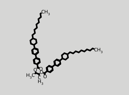 CCCCCCCCCCC1CCC(c2ccc(-c3ccc(C(=O)OC(C)C(C)OC(=O)c4ccc(-c5ccc(C6CCC(CCCCCCCCCC)CC6)cc5)cc4)cc3)cc2)CC1